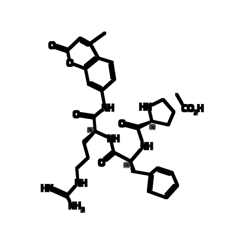 CC(=O)O.Cc1cc(=O)oc2cc(NC(=O)[C@H](CCCNC(=N)N)NC(=O)[C@H](Cc3ccccc3)NC(=O)[C@@H]3CCCN3)ccc12